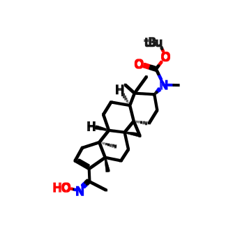 C/C(=N/O)C1=CC[C@@]2(C)[C@@H]3CC[C@H]4C(C)(C)[C@@H](N(C)C(=O)OC(C)(C)C)CC[C@@]45C[C@@]35CC[C@]12C